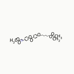 C=C(C)C(=O)OCCCCCCOc1ccc(C(=O)Oc2ccc(/C=C/C(=O)OC)cc2)cc1